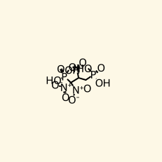 O=[N+]([O-])C(CP(=O)(O)O)C([N+](=O)[O-])([N+](=O)[O-])P(=O)(O)O